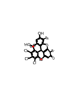 O=C(O)c1c(Cl)c(Cl)c(Cl)c(Cl)c1C1C2=C(Oc3c(Br)c(O)cc(Br)c31)C(Br)C(=O)C=C2Br